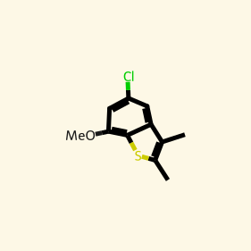 COc1cc(Cl)cc2c(C)c(C)sc12